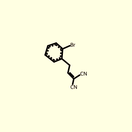 N#CC(C#N)=CCc1ccccc1Br